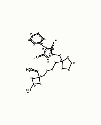 C=CC1(CCCCC2(Cn3oc(=O)n(-c4ccccc4)c3=O)CCCC2)CC(O)C1